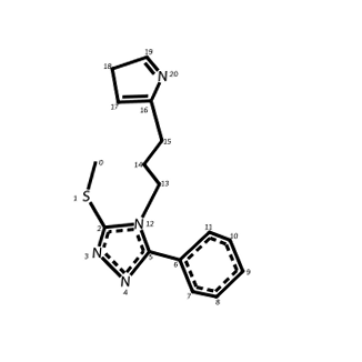 CSc1nnc(-c2ccccc2)n1CCCC1=CCC=N1